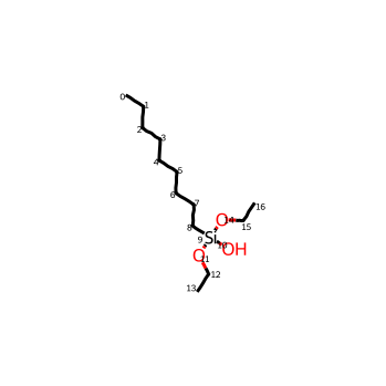 CCCCCCCCC[Si](O)(OCC)OCC